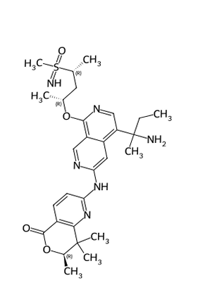 CCC(C)(N)c1cnc(O[C@H](C)C[C@@H](C)S(C)(=N)=O)c2cnc(Nc3ccc4c(n3)C(C)(C)[C@@H](C)OC4=O)cc12